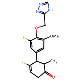 COc1cc(C2C(F)=CCC(=O)C2C)cc(F)c1OCc1nnc[nH]1